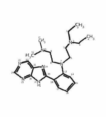 CCN(CC)CCN(CCN(C)C)c1ccccc1-c1nc2cncnc2[nH]1